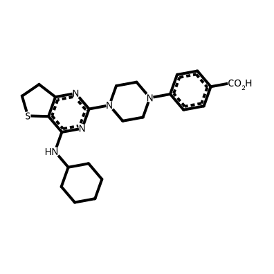 O=C(O)c1ccc(N2CCN(c3nc4c(c(NC5CCCCC5)n3)SCC4)CC2)cc1